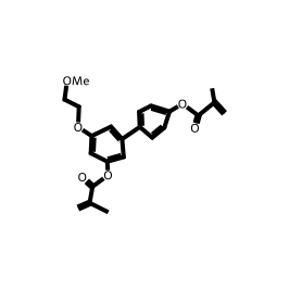 C=C(C)C(=O)Oc1ccc(-c2cc(OCCOC)cc(OC(=O)C(=C)C)c2)cc1